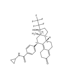 C[C@]12C[C@H](c3ccc(C(=O)NC4CC4)cc3)C3=C4CCC(=O)C=C4CC[C@H]3[C@@H]1CC[C@@]2(O)C(F)(F)C(F)(F)F